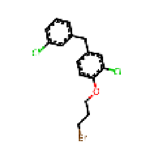 Clc1cccc(Cc2ccc(OCCCBr)c(Cl)c2)c1